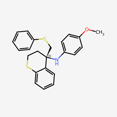 COc1ccc(N[C@@]2(CSc3ccccc3)CCSc3ccccc32)cc1